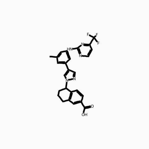 Cc1cc(Nc2nccc(C(F)(F)F)n2)cc(-c2cnn(C3CCCc4cc(C(=O)O)ccc43)c2)c1